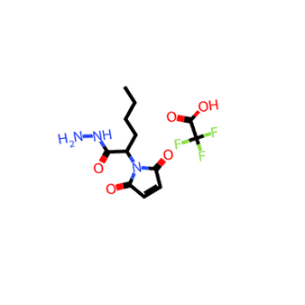 CCCCC(C(=O)NN)N1C(=O)C=CC1=O.O=C(O)C(F)(F)F